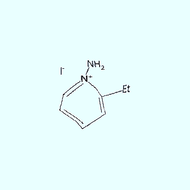 CCc1cccc[n+]1N.[I-]